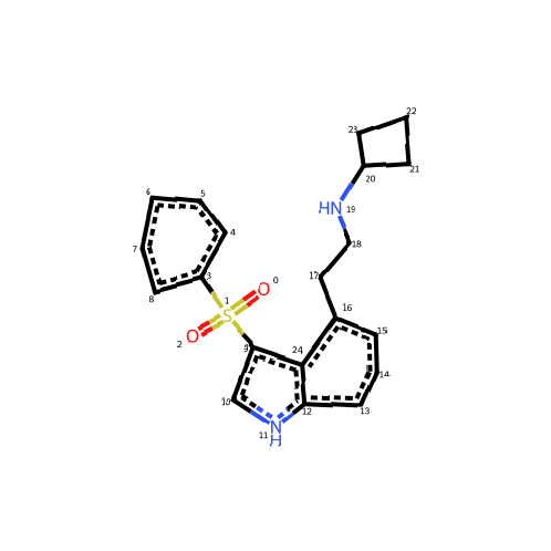 O=S(=O)(c1ccccc1)c1c[nH]c2cccc(CCNC3CCC3)c12